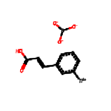 O=C(O)C=Cc1ccc[c]([Ti+3])c1.[O-]B([O-])[O-]